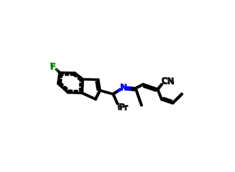 C\C=C/C(C#N)=C\C(C)=N\C(C1=Cc2cc(F)ccc2C1)C(C)C